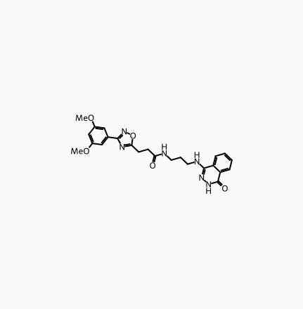 COc1cc(OC)cc(-c2noc(CCC(=O)NCCCNc3n[nH]c(=O)c4ccccc34)n2)c1